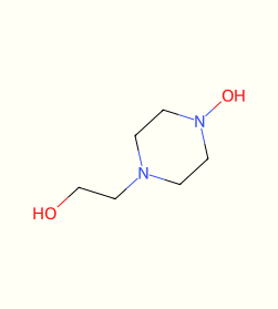 OCCN1CCN(O)CC1